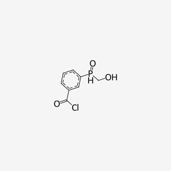 O=C(Cl)c1cccc([PH](=O)CO)c1